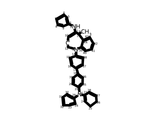 CC1/C(Nc2ccccc2)=C\CCN(c2ccc(-c3ccc(N(C4=CCCC=C4)c4ccccc4)cc3)cc2)c2ccccc21